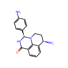 Nc1ccc([C@@H]2NC(=O)c3cccc4c3N2CC[C@H]4N)cc1